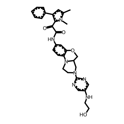 Cc1cc(-c2ccccc2)c(C(=O)C(=O)Nc2ccc3c(c2)OCC2CN(c4ncc(NCCO)cn4)CCN32)n1C